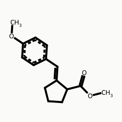 COC(=O)C1CCC/C1=C\c1ccc(OC)cc1